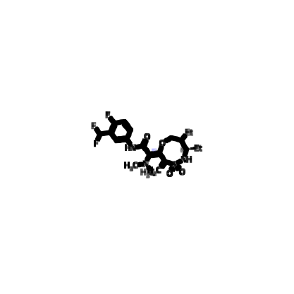 C=C1/C(=C(/C(=O)Nc2ccc(F)c(C(F)F)c2)N(C)C)OCC(CC)[C@H](CC)NS1(=O)=O